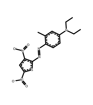 CCN(CC)c1ccc(N=Nc2sc([N+](=O)[O-])cc2[N+](=O)[O-])c(C)c1